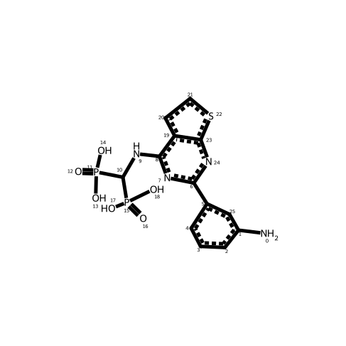 Nc1cccc(-c2nc(NC(P(=O)(O)O)P(=O)(O)O)c3ccsc3n2)c1